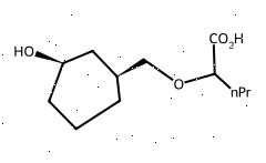 CCCC(OC[C@H]1CCC[C@@H](O)C1)C(=O)O